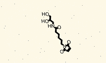 O=C(CCCCCN1C(=O)C=CC1=O)NCC(O)CO